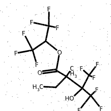 CCC(C)(C(=O)OC(C(F)(F)F)C(F)(F)F)C(O)(C(F)(F)F)C(F)(F)F